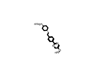 CCCCCCC[C@H]1CC[C@H](CCc2ccc(-c3ncc(OCCC)cn3)cc2)CC1